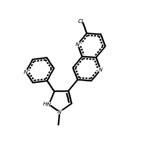 CN1C=C(c2cnc3ccc(Cl)nc3c2)C(c2cccnc2)N1